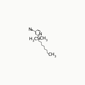 CCCCCCCC[Si](C)(C)c1cc(C#N)ccn1